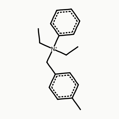 CC[N+](CC)(Cc1ccc(C)cc1)c1ccccc1